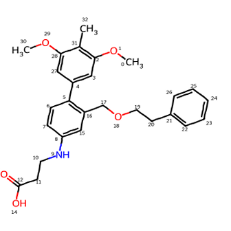 COc1cc(-c2ccc(NCCC(=O)O)cc2COCCc2ccccc2)cc(OC)c1C